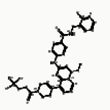 CC[C@@H]1C=C(Nc2ccc(C(=O)NCc3cccnc3C)cc2)N=C2C(C3=CCN(C(=O)CCC(F)(F)F)CC3)=CC=CN21